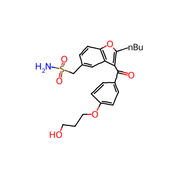 CCCCc1oc2ccc(CS(N)(=O)=O)cc2c1C(=O)c1ccc(OCCCO)cc1